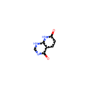 O=c1ccc2c(=O)nc[nH]c2[nH]1